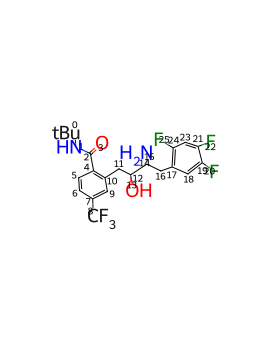 CC(C)(C)NC(=O)c1ccc(C(F)(F)F)cc1C[C@H](O)[C@H](N)Cc1cc(F)c(F)cc1F